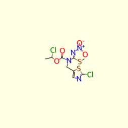 CS/C(=N\[N+](=O)[O-])N(Cc1cnc(Cl)s1)C(=O)OC(C)Cl